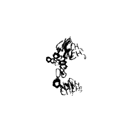 Cc1c(C(=O)N(C)c2ccccc2)cc(-c2cc3c(cc2C(=O)N2Cc4ccccc4C[C@H]2C)CN(C(=O)Oc2cccc(N(C)CCN(C)C)c2)CC3)n1C